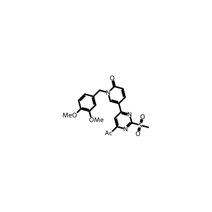 COc1ccc(Cn2cc(-c3cc(C(C)=O)nc(S(C)(=O)=O)n3)ccc2=O)cc1OC